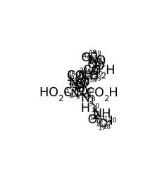 O=C(O)CN(CC(=O)N[C@H](CCCCNC(=O)c1cccc(I)c1)C(=O)O)C(=O)CN(CC(=O)O)C(=O)CN(CC(=O)O)C(=O)c1cccc(C(=O)ON2C(=O)CCC2=O)c1